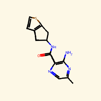 Cc1cnc(C(=O)NC2Cc3ccsc3C2)c(N)n1